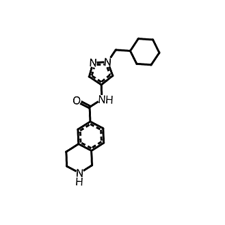 O=C(Nc1cnn(CC2CCCCC2)c1)c1ccc2c(c1)CCNC2